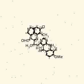 COc1ccc(C(=N)c2c(N)ncnc2NC(C)/C(=N/c2cccc(Cl)c2C)N(C=O)c2cccnc2)c(F)c1F